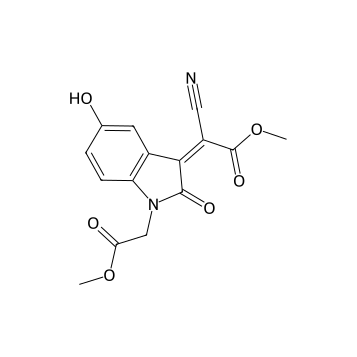 COC(=O)CN1C(=O)/C(=C(/C#N)C(=O)OC)c2cc(O)ccc21